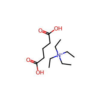 CC[N+](CC)(CC)CC.O=C(O)CCCC(=O)O